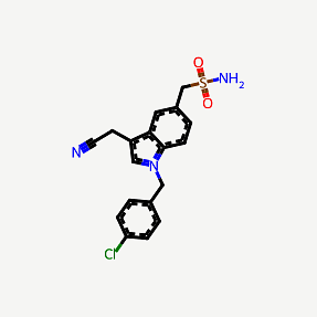 N#CCc1cn(Cc2ccc(Cl)cc2)c2ccc(CS(N)(=O)=O)cc12